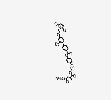 C=C(CC(=O)OC)C(=O)OCCOc1ccc(OC(=O)c2ccc(-c3ccc(OCCN4C(=O)C=CC4=O)cc3CC)cc2)cc1